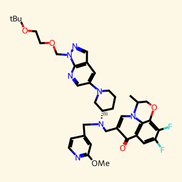 COc1cc(CN(Cc2cn3c4c(c(F)c(F)cc4c2=O)OCC3C)[C@H]2CCCN(c3cnc4c(cnn4COCCOC(C)(C)C)c3)C2)ccn1